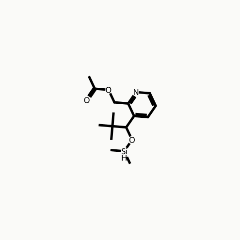 CC(=O)OCc1ncccc1C(O[SiH](C)C)C(C)(C)C